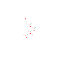 C[O+](C)C.OB(O)F.OB(O)F.OB(O)F.OB(O)F